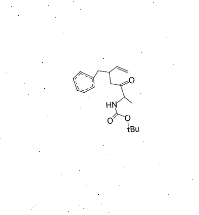 C=CC(CC(=O)C(C)NC(=O)OC(C)(C)C)Cc1ccccc1